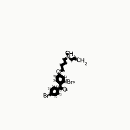 Br.C=CCN(C)CCCCOc1ccc(C(=O)c2ccc(Br)cc2)cc1